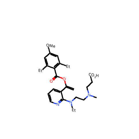 C=C(OC(=O)c1c(CC)cc(OC)cc1CC)c1cccnc1N(CC)CCN(C)CCC(=O)O